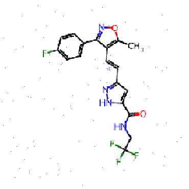 Cc1onc(-c2ccc(F)cc2)c1/C=C/c1cc(C(=O)NCC(F)(F)F)[nH]n1